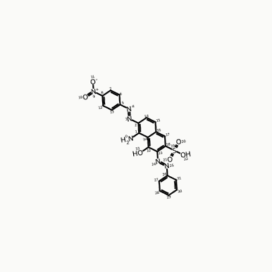 Nc1c(/N=N/c2ccc([N+](=O)[O-])cc2)ccc2cc(S(=O)(=O)O)c(/N=N/c3ccccc3)c(O)c12